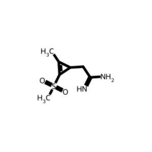 CC1=C(S(C)(=O)=O)C1CC(=N)N